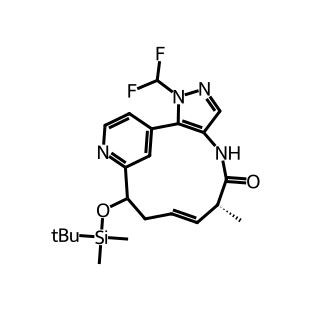 C[C@@H]1/C=C/CC(O[Si](C)(C)C(C)(C)C)c2cc(ccn2)-c2c(cnn2C(F)F)NC1=O